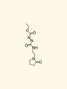 CCOC(=O)/N=N/C(=O)NCCN1CCCC1=O